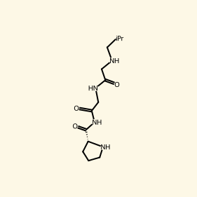 CC(C)CNCC(=O)NCC(=O)NC(=O)[C@H]1CCCN1